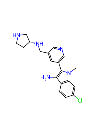 Cn1c(-c2cncc(CN[C@@H]3CCNC3)c2)c(N)c2ccc(Cl)cc21